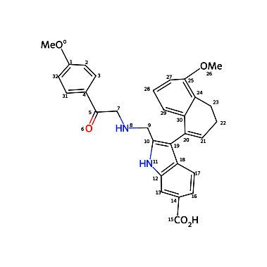 COc1ccc(C(=O)CNCc2[nH]c3cc(C(=O)O)ccc3c2C2=CCCc3c(OC)cccc32)cc1